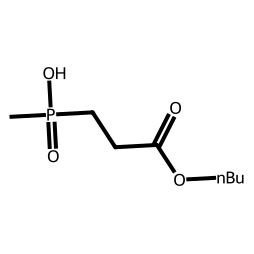 CCCCOC(=O)CCP(C)(=O)O